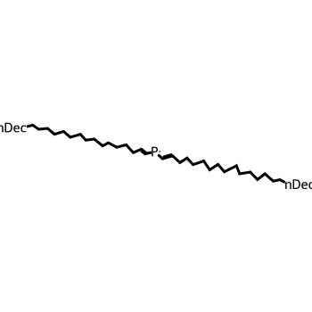 CCCCCCCCCCCCCCCCCCCCCCCC/C=C/[P]/C=C/CCCCCCCCCCCCCCCCCCCCCCCC